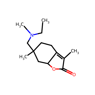 CCN(C)CC1(C)CCC2=C(C)C(=O)OC2C1